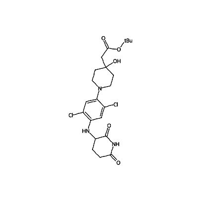 CC(C)(C)OC(=O)CC1(O)CCN(c2cc(Cl)c(NC3CCC(=O)NC3=O)cc2Cl)CC1